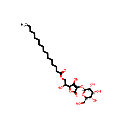 CCCCCCCCCCCCCCCC(=O)OCC(O)C1OC(=O)C(O[C@@H]2O[C@H](CO)[C@@H](O)[C@H](O)[C@H]2O)=C1O